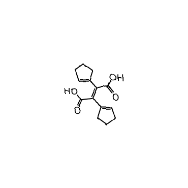 O=C(O)C(C1=CCCC1)=C(C(=O)O)C1=CCCC1